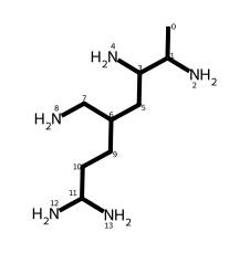 CC(N)C(N)CC(CN)CCC(N)N